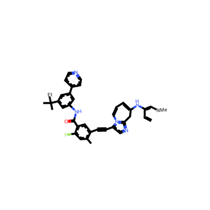 C=C/C(=C\NC)NC1=CC=Cn2c(C#Cc3cc(C(=O)Nc4cc(-c5ccncc5)cc(C(C)(C)CC)c4)c(F)cc3C)cnc2C1